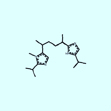 CC(C)c1cnc(C(C)CCC(C)c2cnc(C(C)C)n2C)[nH]1